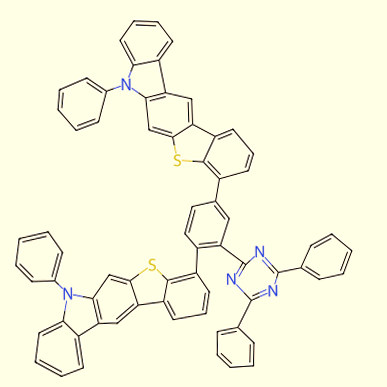 c1ccc(-c2nc(-c3ccccc3)nc(-c3cc(-c4cccc5c4sc4cc6c(cc45)c4ccccc4n6-c4ccccc4)ccc3-c3cccc4c3sc3cc5c(cc34)c3ccccc3n5-c3ccccc3)n2)cc1